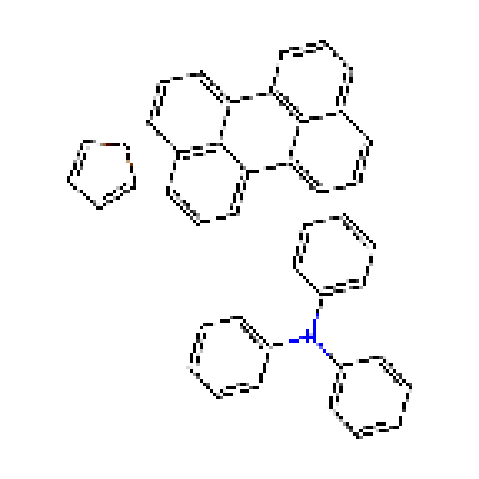 c1cc2cccc3c4cccc5cccc(c(c1)c23)c54.c1ccc(N(c2ccccc2)c2ccccc2)cc1.c1ccsc1